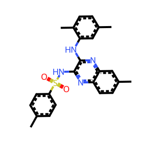 Cc1ccc(S(=O)(=O)Nc2nc3ccc(C)cc3nc2Nc2cc(C)ccc2C)cc1